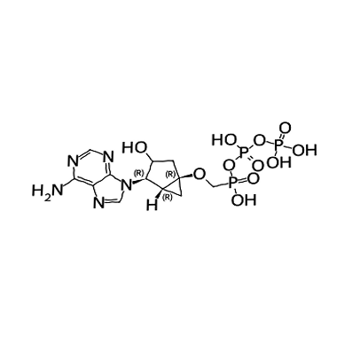 Nc1ncnc2c1ncn2[C@H]1C(O)C[C@]2(OCP(=O)(O)OP(=O)(O)OP(=O)(O)O)C[C@H]12